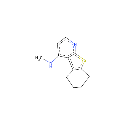 CNc1ccnc2sc3c(c12)CCCC3